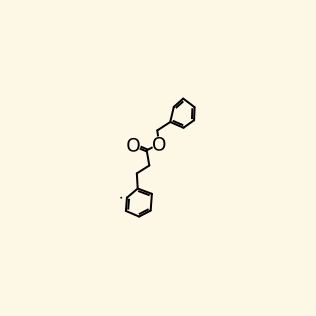 O=C(CCc1[c]cccc1)OCc1ccccc1